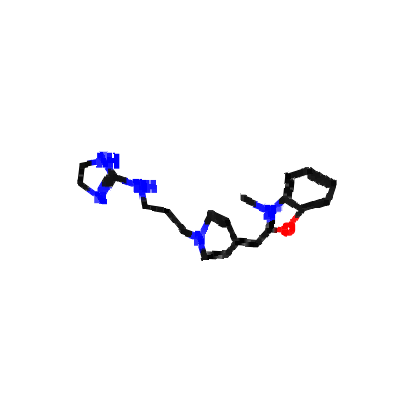 C[n+]1c(C=C2C=CN(CCCNC3=NCCN3)C=C2)oc2ccccc21